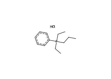 CCC[P](CC)(CC)c1ccccc1.Cl